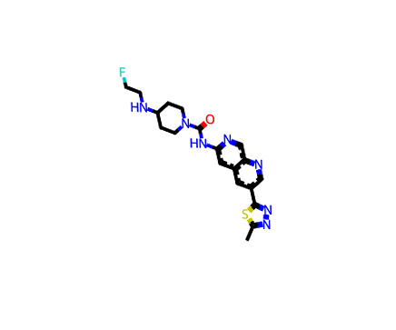 Cc1nnc(-c2cnc3cnc(NC(=O)N4CCC(NCCF)CC4)cc3c2)s1